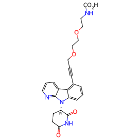 O=C(O)NCCOCCOCC#Cc1cccc2c1c1cccnc1n2[C@H]1CCC(=O)NC1=O